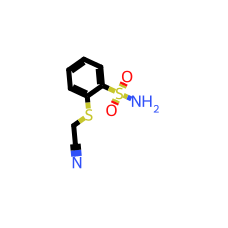 N#CCSc1ccccc1S(N)(=O)=O